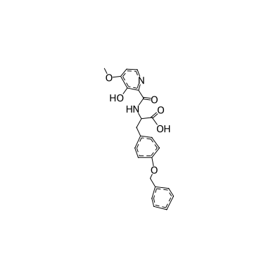 COc1ccnc(C(=O)NC(Cc2ccc(OCc3ccccc3)cc2)C(=O)O)c1O